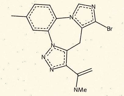 C=C(NC)c1nnn2c1Cc1c(Br)ncn1-c1ccc(C)cc1-2